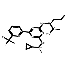 CCC[C@H](Nc1nc(N[C@H](C)C2CC2)nc(-c2cccc(C(F)(F)F)n2)n1)[C@@H](C)O